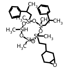 CC(C[Si]1(C)O[SiH](C)O[SiH](C)O[Si](C)(CCC2CCC3OC3C2)O[Si](C)(CC(C)c2ccccc2)O1)c1ccccc1